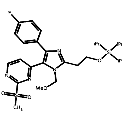 COCn1c(CCO[Si](C(C)C)(C(C)C)C(C)C)nc(-c2ccc(F)cc2)c1-c1ccnc(S(C)(=O)=O)n1